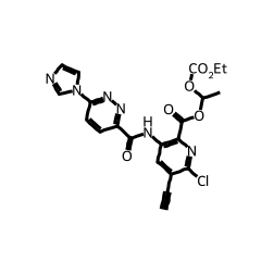 C#Cc1cc(NC(=O)c2ccc(-n3ccnc3)nn2)c(C(=O)OC(C)OC(=O)OCC)nc1Cl